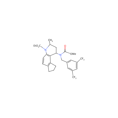 CCOC(=O)N1c2ccc3c(c2C(N(Cc2cc(C(F)(F)F)cc(C(F)(F)F)c2)C(=O)OC)CC1C)CCC3